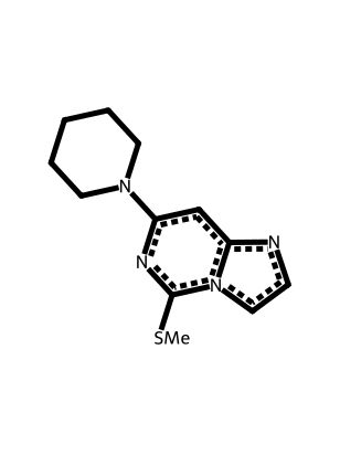 CSc1nc(N2CCCCC2)cc2nccn12